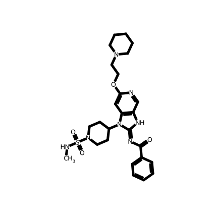 CNS(=O)(=O)N1CCC(n2/c(=N/C(=O)c3ccccc3)[nH]c3cnc(OCCN4CCCCC4)cc32)CC1